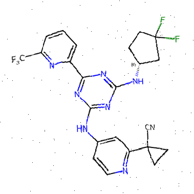 N#CC1(c2cc(Nc3nc(N[C@@H]4CCC(F)(F)C4)nc(-c4cccc(C(F)(F)F)n4)n3)ccn2)CC1